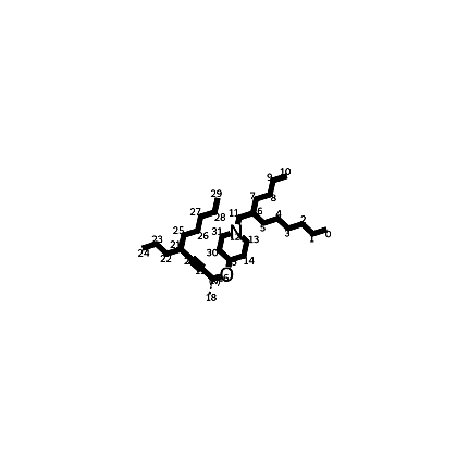 CCCCCCC(CCCC)CN1CCC(O[C@H](C)C#CC(CCC)CCCCC)CC1